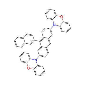 c1ccc2c(c1)Oc1ccccc1N2c1ccc2c(-c3ccc4ccccc4c3)c3cc(N4c5ccccc5Oc5ccccc54)ccc3cc2c1